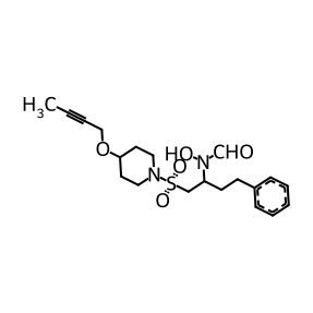 CC#CCOC1CCN(S(=O)(=O)CC(CCc2ccccc2)N(O)C=O)CC1